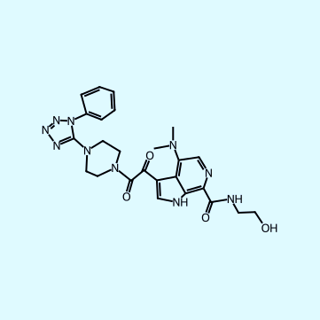 CN(C)c1cnc(C(=O)NCCO)c2[nH]cc(C(=O)C(=O)N3CCN(c4nnnn4-c4ccccc4)CC3)c12